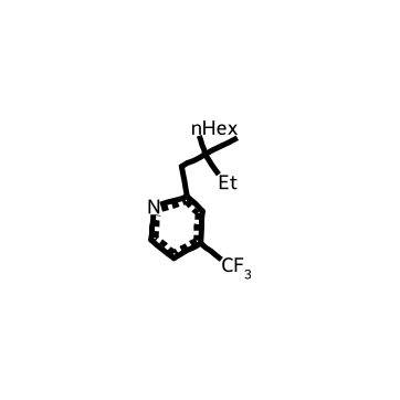 CCCCCCC(C)(CC)Cc1cc(C(F)(F)F)ccn1